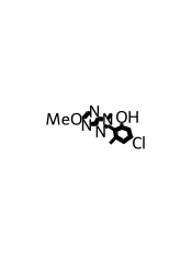 COc1cnc2c(n1)nc(-c1c(C)cc(Cl)cc1O)n2C